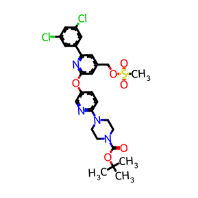 CC(C)(C)OC(=O)N1CCN(c2ccc(Oc3cc(COS(C)(=O)=O)cc(-c4cc(Cl)cc(Cl)c4)n3)cn2)CC1